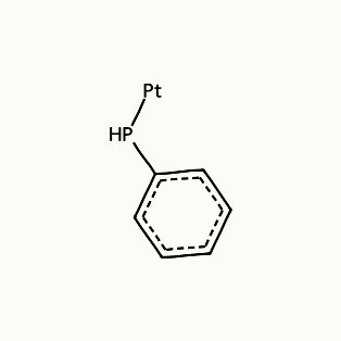 [Pt][PH]c1ccccc1